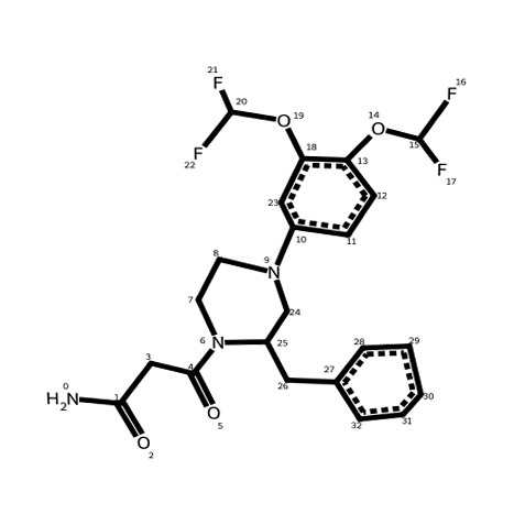 NC(=O)CC(=O)N1CCN(c2ccc(OC(F)F)c(OC(F)F)c2)CC1Cc1ccccc1